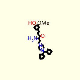 COc1cc(C=CC(=O)C(N)CCN2CCN(C(c3ccccc3)c3ccccc3)CC2)ccc1O